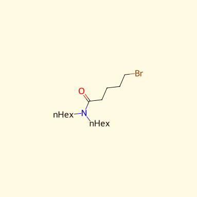 CCCCCCN(CCCCCC)C(=O)CCCCBr